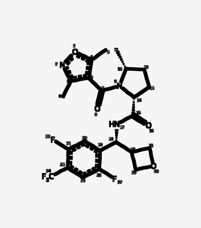 Cc1noc(C)c1C(=O)N1[C@H](C)CC[C@@H]1C(=O)N[C@@H](c1cc(F)c(C(F)(F)F)cc1F)C1COC1